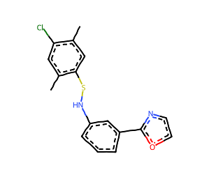 Cc1cc(SNc2cccc(-c3ncco3)c2)c(C)cc1Cl